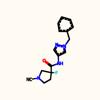 N#CN1CCC(F)(C(=O)Nc2cnn(Cc3ccccc3)c2)C1